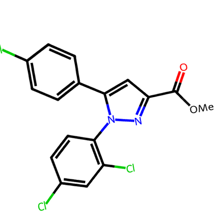 COC(=O)c1cc(-c2ccc(Cl)cc2)n(-c2ccc(Cl)cc2Cl)n1